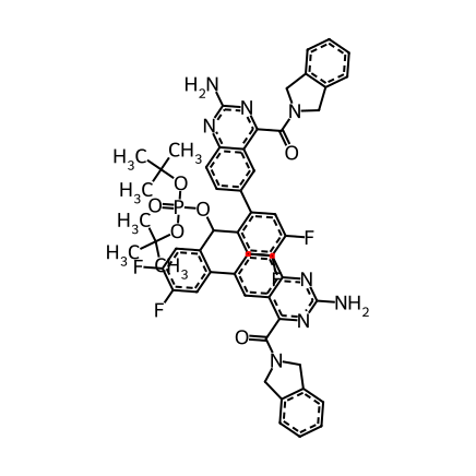 CC(C)(C)OP(=O)(OC(c1cc(F)c(F)cc1-c1ccc2nc(N)nc(C(=O)N3Cc4ccccc4C3)c2c1)c1cc(F)c(F)cc1-c1ccc2nc(N)nc(C(=O)N3Cc4ccccc4C3)c2c1)OC(C)(C)C